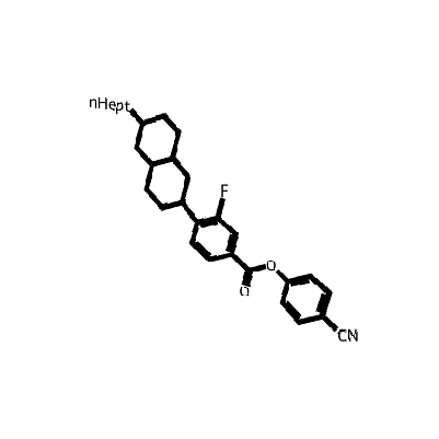 CCCCCCCC1CCC2CC(c3ccc(C(=O)Oc4ccc(C#N)cc4)cc3F)CCC2C1